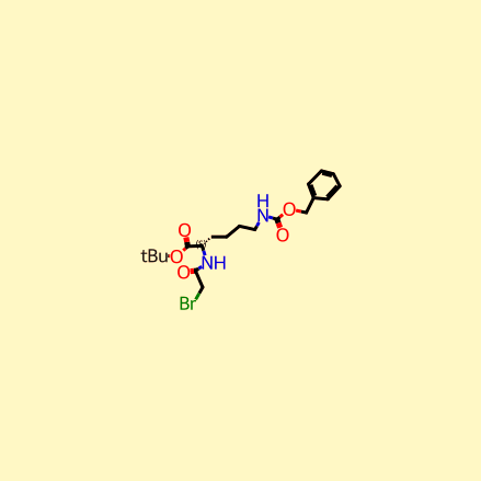 CC(C)(C)OC(=O)[C@H](CCCCNC(=O)OCc1ccccc1)NC(=O)CBr